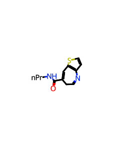 CCCNC(=O)C1=Cc2sccc2N=CC1